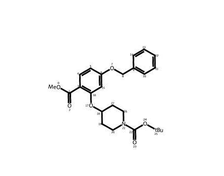 COC(=O)c1ccc(OCc2ccccc2)cc1OC1CCN(C(=O)OC(C)(C)C)CC1